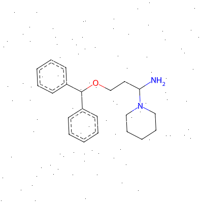 NC(CCOC(c1ccccc1)c1ccccc1)N1CCCCC1